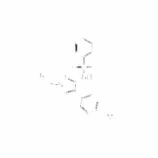 COc1ccc(-c2cn(CC#N)nc2NS(=O)(=O)c2ccccc2)cc1